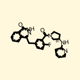 O=C(c1cc(Cc2n[nH]c(=O)c3ccccc23)ccc1F)N1CC[C@@H](Nc2ccccn2)C1